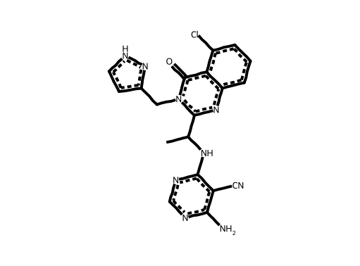 CC(Nc1ncnc(N)c1C#N)c1nc2cccc(Cl)c2c(=O)n1Cc1cc[nH]n1